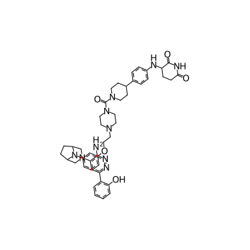 Nc1nnc(-c2ccccc2O)cc1N1CC2CCC(C1)N2c1cccc(OCCN2CCN(C(=O)N3CCC(c4ccc(NC5CCC(=O)NC5=O)cc4)CC3)CC2)c1